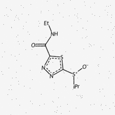 CCNC(=O)c1nnc([S+]([O-])C(C)C)s1